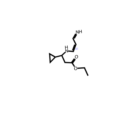 CCOC(=O)CC(N/C=C\C=N)C1CC1